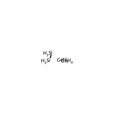 [GeH4].[GeH4].[SiH3][SiH3]